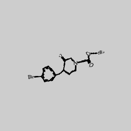 CC(C)(C)OC(=O)N1CCC(c2ccc(Br)cc2)C(=O)C1